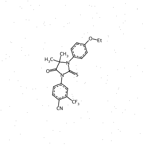 CCOc1ccc(N2C(=S)N(c3ccc(C#N)c(C(F)(F)F)c3)C(=O)C2(C)C)cc1